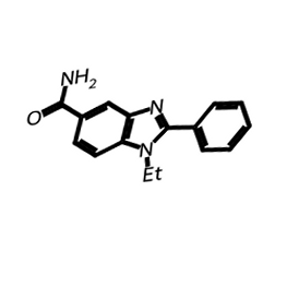 CCn1c(-c2ccccc2)nc2cc(C(N)=O)ccc21